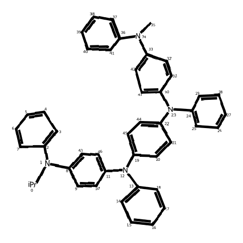 CC(C)N(c1ccccc1)c1ccc(N(c2ccccc2)c2ccc(N(c3ccccc3)c3ccc(N(C)c4ccccc4)cc3)cc2)cc1